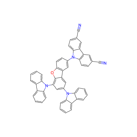 N#Cc1ccc2c(c1)c1cc(C#N)ccc1n2-c1ccc2oc3c(-n4c5ccccc5c5ccccc54)cc(-n4c5ccccc5c5ccccc54)cc3c2c1